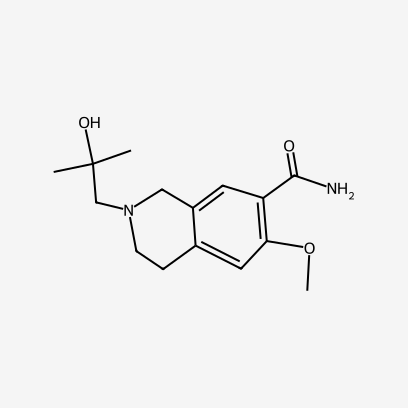 COc1cc2c(cc1C(N)=O)CN(CC(C)(C)O)CC2